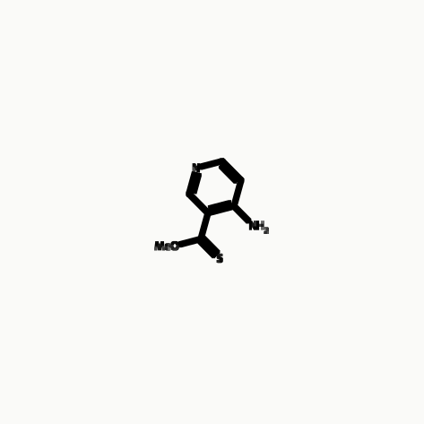 COC(=S)c1cnccc1N